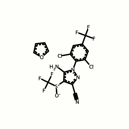 N#Cc1nn(-c2c(Cl)cc(C(F)(F)F)cc2Cl)c(N)c1[S+]([O-])C(F)(F)F.c1ccoc1